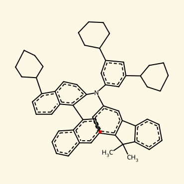 CC1(C)c2ccccc2-c2cc(N(c3cc(C4CCCCC4)cc(C4CCCCC4)c3)c3ccc4c(C5CCCCC5)cccc4c3-c3cccc4ccccc34)ccc21